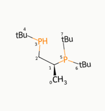 C[C@@H](CPC(C)(C)C)P(C(C)(C)C)C(C)(C)C